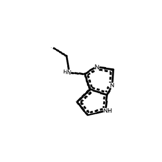 [CH2]CNc1ncnc2[nH]ccc12